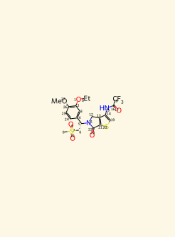 CCOc1cc([C@@H](CS(C)(=O)=O)N2Cc3c(NC(=O)C(F)(F)F)csc3C2=O)ccc1OC